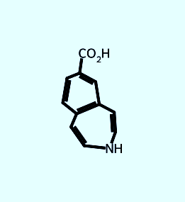 O=C(O)c1ccc2c(c1)C=CNC=C2